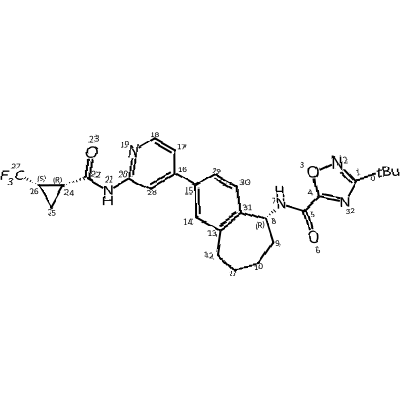 CC(C)(C)c1noc(C(=O)N[C@@H]2CCCCc3cc(-c4ccnc(NC(=O)[C@@H]5C[C@@H]5C(F)(F)F)c4)ccc32)n1